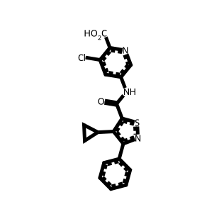 O=C(O)c1ncc(NC(=O)c2snc(-c3ccccc3)c2C2CC2)cc1Cl